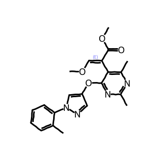 CO/C=C(/C(=O)OC)c1c(C)nc(C)nc1Oc1cnn(-c2ccccc2C)c1